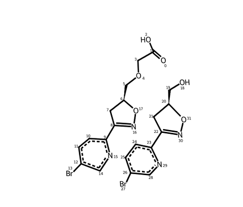 O=C(O)COC[C@@H]1CC(c2ccc(Br)cn2)=NO1.OC[C@@H]1CC(c2ccc(Br)cn2)=NO1